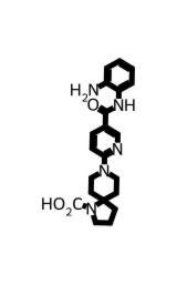 Nc1ccccc1NC(=O)c1ccc(N2CCC3(CCCN3C(=O)O)CC2)nc1